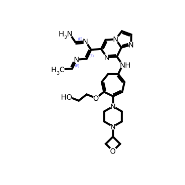 C/C=N/C=C(\N=C\N)c1cn2ccnc2c(NC2=CC=C(N3CCN(C4COC4)CC3)C(OCCO)=CC2)n1